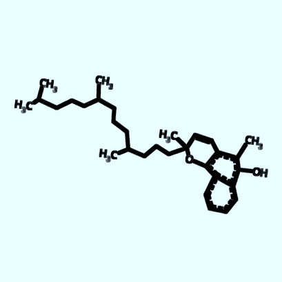 Cc1c2c(c3ccccc3c1O)OC(C)(CCCC(C)CCCC(C)CCCC(C)C)C=C2